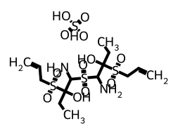 C=CCS(=O)(=O)C(O)(CC)C(N)S(=O)(=O)C(N)C(O)(CC)S(=O)(=O)CC=C.O=S(=O)(O)O